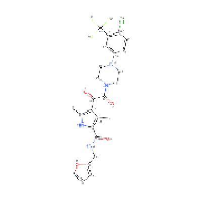 Cc1[nH]c(C(=O)NCc2ccco2)c(C)c1C(=O)C(=O)N1CCN(c2ccc(Cl)c(C(F)(F)F)c2)CC1